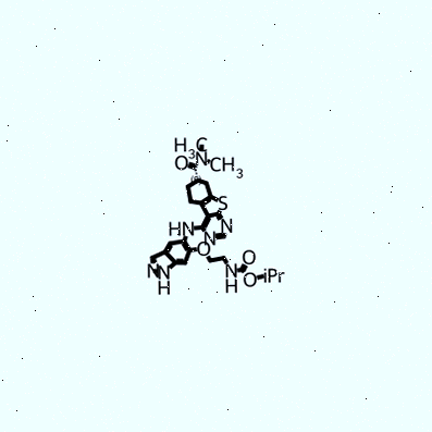 CC(C)OC(=O)NCCOc1cc2[nH]ncc2cc1Nc1ncnc2sc3c(c12)CC[C@H](C(=O)N(C)C)C3